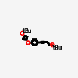 CC(C)(C)OCCC#Cc1ccc(OC2CC(OC(C)(C)C)C2)cc1